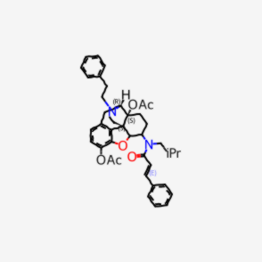 CC(=O)Oc1ccc2c3c1OC1C(N(CC(C)C)C(=O)/C=C/c4ccccc4)CC[C@@]4(OC(C)=O)[C@@H](C2)N(CCc2ccccc2)CC[C@]314